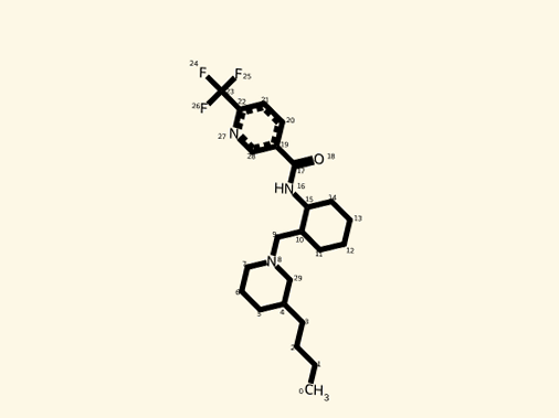 CCCCC1CCCN(CC2CCCCC2NC(=O)c2ccc(C(F)(F)F)nc2)C1